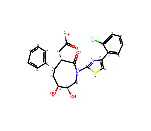 O=C(O)C[C@@H]1C(=O)N(c2nc(-c3ccccc3Cl)cs2)C[C@@H](O)[C@@H](O)C[C@@H]1c1ccccc1